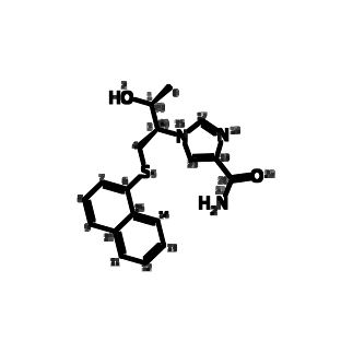 C[C@H](O)[C@H](CSc1cccc2ccccc12)n1cnc(C(N)=O)c1